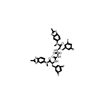 Cc1nc2cc(N(C)C(=O)[C@H](Cc3cc(F)cc(F)c3)NC(=O)NS(=O)(=O)N[C@@H](Cc3cc(F)cc(F)c3)C(=O)N(C)c3ccc4sc(C)nc4c3)ccc2s1